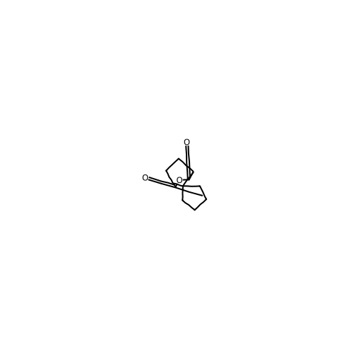 O=C1OC(=O)C2CCC1C21CCCC1